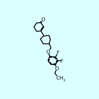 CCOc1ccc(OCC2CCC(C3=CC(=O)CCC3)CC2)c(F)c1F